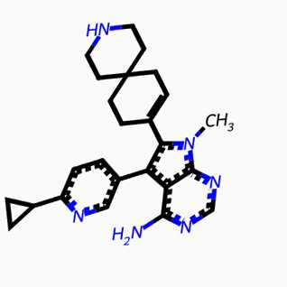 Cn1c(C2=CCC3(CCNCC3)CC2)c(-c2ccc(C3CC3)nc2)c2c(N)ncnc21